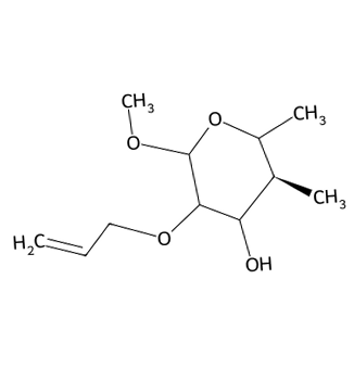 C=CCOC1C(OC)OC(C)[C@@H](C)C1O